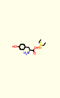 CC[SH](CC)POC(=O)[C@@H](N)Cc1ccc(O)cc1